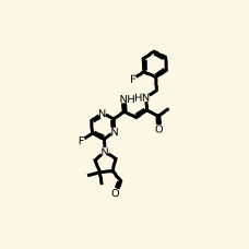 CC(=O)/C(=C/C(=N)c1ncc(F)c(N2CC(C=O)C(C)(C)C2)n1)NCc1ccccc1F